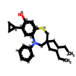 CCCCC1(CCCC)CSc2cc(O)c(C3CC3)cc2N(c2ccccc2)C1